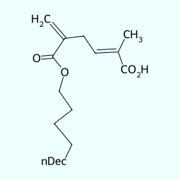 C=C(CC=C(C)C(=O)O)C(=O)OCCCCCCCCCCCCCC